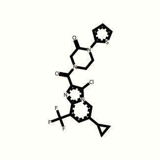 O=C(c1nc2c(C(F)(F)F)cc(C3CC3)cn2c1Cl)N1CCN(c2cccs2)C(=O)C1